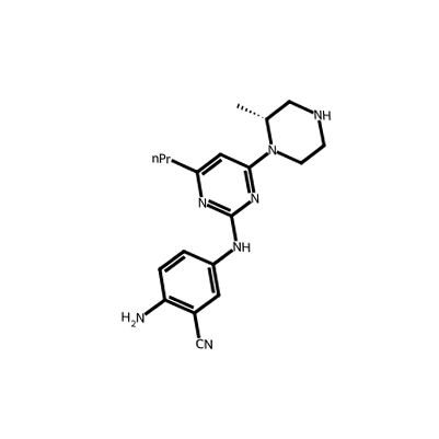 CCCc1cc(N2CCNC[C@H]2C)nc(Nc2ccc(N)c(C#N)c2)n1